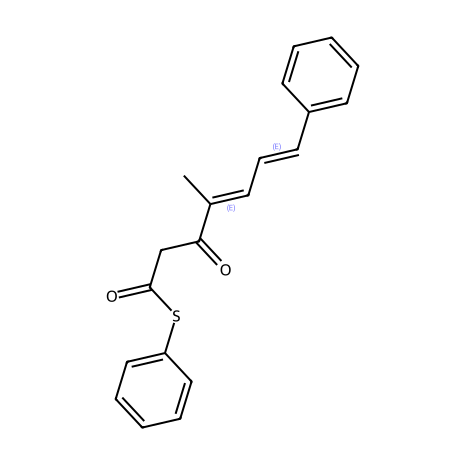 C/C(=C\C=C\c1ccccc1)C(=O)CC(=O)Sc1ccccc1